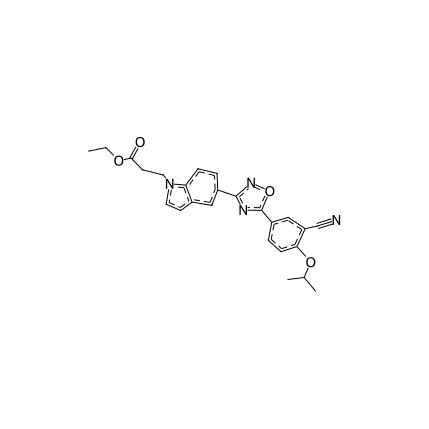 CCOC(=O)CCn1ccc2cc(-c3noc(-c4ccc(OC(C)C)c(C#N)c4)n3)ccc21